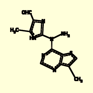 Cc1[nH]c(N(N)c2ncnc3c(C)csc23)nc1C=O